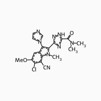 COc1cc2c(-n3ccnc3)c(-c3n[nH]c(C(=O)N(C)C)n3)n(C)c2c(C#N)c1Cl